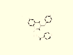 CN1C(=O)C(Cc2ccc(Cl)cc2)C(=O)c2cc(C(=O)O)ccc21.NC(=O)c1ccncc1